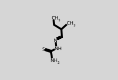 CCC(C)/C=N/NC(N)=S